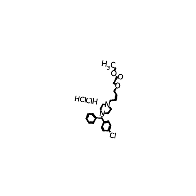 CCOC(=O)COC/C=C\CN1CCN([C@H](c2ccccc2)c2ccc(Cl)cc2)CC1.Cl.Cl